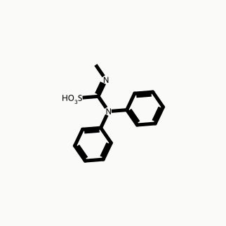 CN=C(N(c1ccccc1)c1ccccc1)S(=O)(=O)O